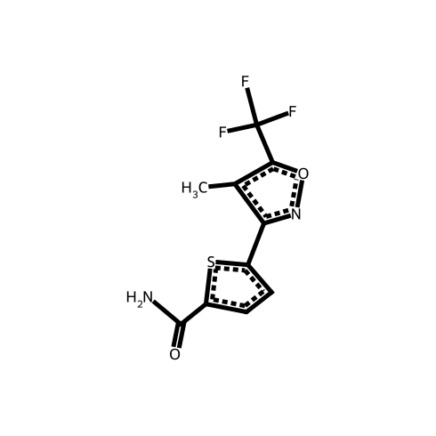 Cc1c(-c2ccc(C(N)=O)s2)noc1C(F)(F)F